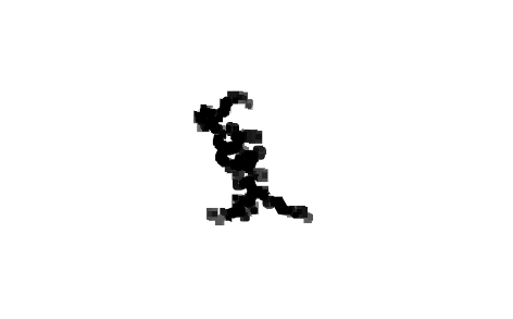 NCCON=C(C(=O)NC1C(=O)N2C(C(=O)O)=C(CSc3nnnn3CCN)CS[C@@H]12)c1nsc(N)n1